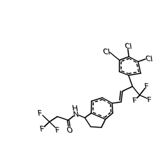 O=C(CC(F)(F)F)NC1CCc2cc(/C=C/C(c3cc(Cl)c(Cl)c(Cl)c3)C(F)(F)F)ccc21